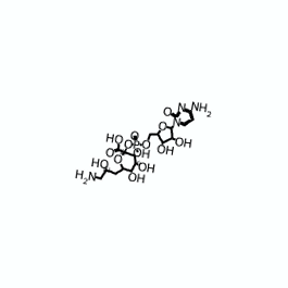 NC[C@@H](O)CC1O[C@](OP(=O)(O)OCC2OC(n3ccc(N)nc3=O)C(O)C2O)(C(=O)O)C[C@@H](O)C1O